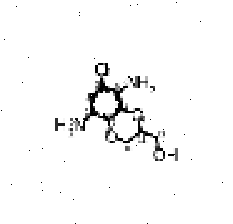 Nc1cc(Cl)c(N)c2c1OCC(CO)O2